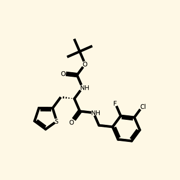 CC(C)(C)OC(=O)N[C@@H](Cc1cccs1)C(=O)NCc1cccc(Cl)c1F